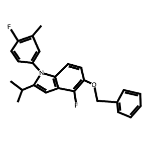 Cc1cc(-n2c(C(C)C)cc3c(F)c(OCc4ccccc4)ccc32)ccc1F